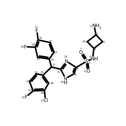 NC1CC(NS(=O)(=O)c2c[nH]c(C(c3ccc(F)c(F)c3)c3ccc(F)c(Cl)c3)n2)C1